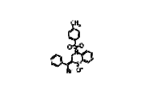 Cc1ccc(S(=O)(=O)N2CC(=C(Br)c3ccccc3)[S+]([O-])c3ccccc32)cc1